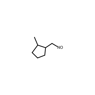 CC1CCCC1CN=O